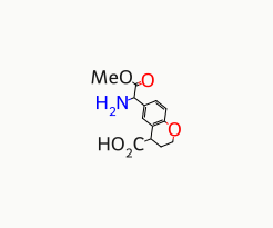 COC(=O)C(N)c1ccc2c(c1)C(C(=O)O)CCO2